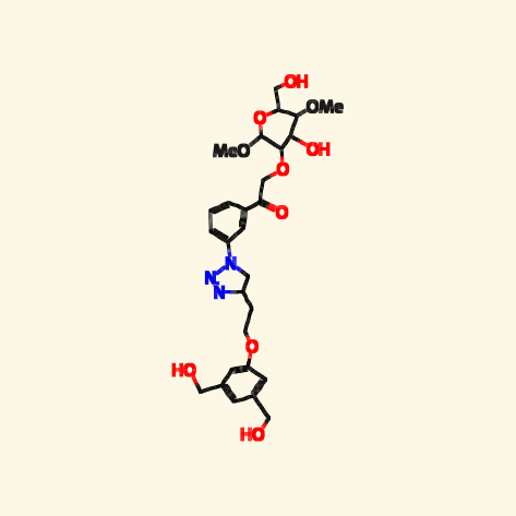 COC1OC(CO)C(OC)C(O)C1OCC(=O)c1cccc(N2CC(CCOc3cc(CO)cc(CO)c3)N=N2)c1